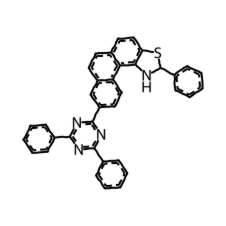 c1ccc(-c2nc(-c3ccccc3)nc(-c3ccc4c(ccc5ccc6c(c54)NC(c4ccccc4)S6)c3)n2)cc1